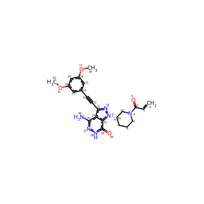 C=CC(=O)N1CCC[C@H](n2nc(C#Cc3cc(OC)cc(OC)c3)c3c(N)n[nH]c(=O)c32)C1